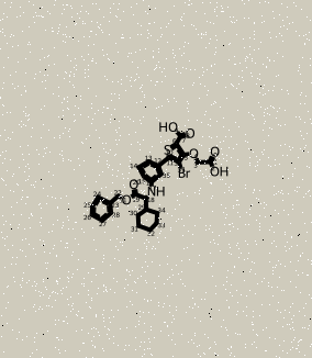 O=C(O)COc1c(C(=O)O)sc(-c2cccc(NC(C(=O)OCc3ccccc3)C3CCCCC3)c2)c1Br